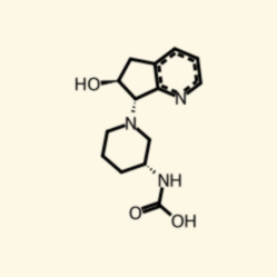 O=C(O)N[C@@H]1CCCN([C@H]2c3ncccc3C[C@@H]2O)C1